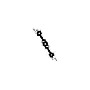 Cc1ccc(C#Cc2cc3cc4sc(C#Cc5ccc(C)cc5)cc4cc3s2)cc1